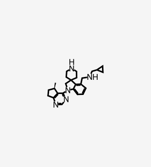 C[C@@H]1CCc2ncnc(N3CC4(CCNCC4)c4c(CNCC5CC5)cccc43)c21